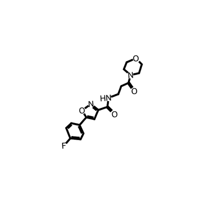 O=C(NCCC(=O)N1CCOCC1)c1cc(-c2ccc(F)cc2)on1